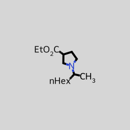 CCCCCCC(C)N1CCC(C(=O)OCC)C1